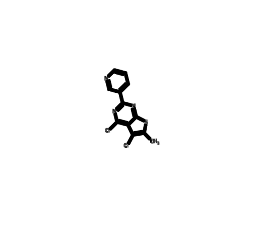 Cc1sc2nc(-c3cccnc3)nc(Cl)c2c1Cl